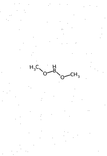 COBOC